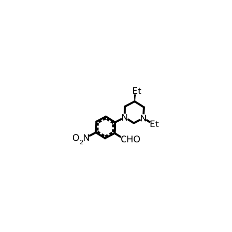 CC[C@H]1CN(CC)CN(c2ccc([N+](=O)[O-])cc2C=O)C1